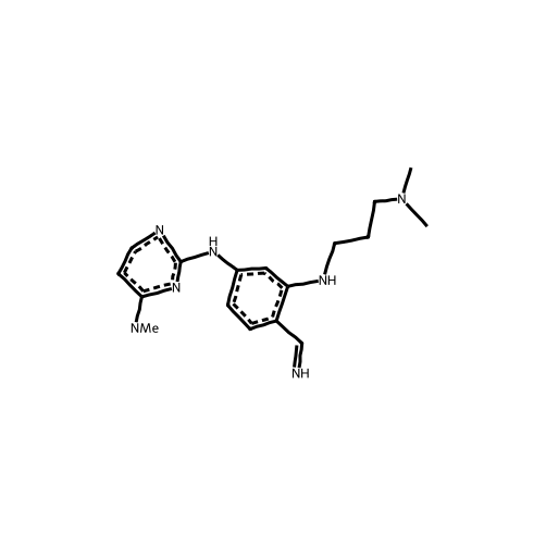 CNc1ccnc(Nc2ccc(C=N)c(NCCCN(C)C)c2)n1